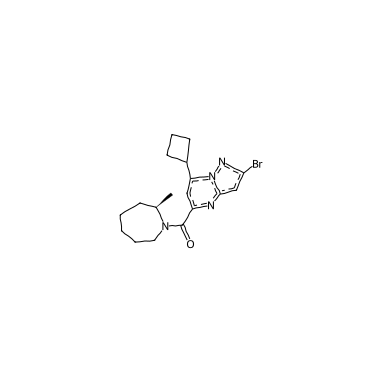 C[C@@H]1CCCCCN1C(=O)c1cc(C2CCC2)n2nc(Br)cc2n1